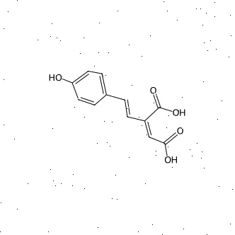 O=C(O)C=C(C=Cc1ccc(O)cc1)C(=O)O